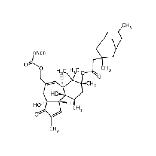 CCCCCCCCCC(=O)OCC1=C[C@H]2C(C)(C)[C@](C)(OC(=O)CC3(C)CC4CC(C)CC(C4)C3)C[C@@H](C)[C@]2(O)[C@@H]2C=C(C)C(=O)[C@@]2(O)C1